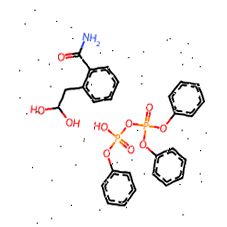 NC(=O)c1ccccc1CC(O)O.O=P(O)(Oc1ccccc1)OP(=O)(Oc1ccccc1)Oc1ccccc1